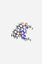 Cc1cc(N2CCC(N(C)C(=O)c3ccc4c(c3)[C@H](NC(=O)c3ccccc3C)CC4)CC2)nc(C)n1